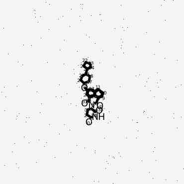 O=C1CCC(N2C(=O)c3cccc4cc(OC5CCC(C6CCCC6)CC5)cc(c34)C2=O)C(=O)N1